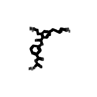 CCCCc1ccc(C(=O)Oc2cccc(C(=O)OC(C)=O)c2)c(CCC)c1